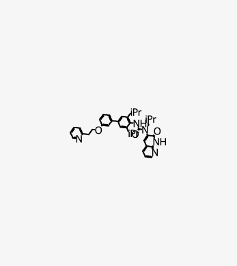 CC(C)CN(C(=O)Nc1c(C(C)C)cc(-c2cccc(OCCc3ccccn3)c2)cc1C(C)C)c1cc2cccnc2[nH]c1=O